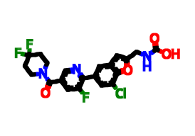 O=C(O)NCc1cc2cc(-c3ncc(C(=O)N4CCC(F)(F)CC4)cc3F)cc(Cl)c2o1